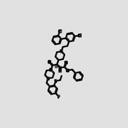 CCSc1cc(F)ccc1CN1CCN(C(=O)[C@H](NC(=O)OCc2ccccc2)C2CCN(CCc3cc(Cl)ccc3-c3ccccc3Cl)CC2)CC1